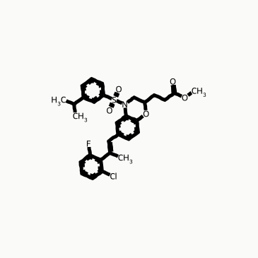 COC(=O)CCC1CN(S(=O)(=O)c2cccc(C(C)C)c2)c2cc(/C=C(\C)c3c(F)cccc3Cl)ccc2O1